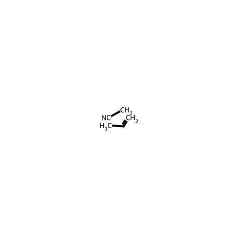 C=CC.CC#N